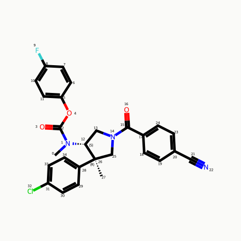 CN(C(=O)Oc1ccc(F)cc1)[C@@H]1CN(C(=O)c2ccc(C#N)cc2)C[C@@]1(C)c1ccc(Cl)cc1